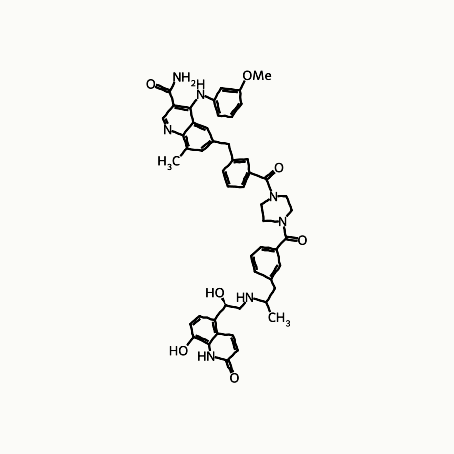 COc1cccc(Nc2c(C(N)=O)cnc3c(C)cc(Cc4cccc(C(=O)N5CCN(C(=O)c6cccc(CC(C)NC[C@H](O)c7ccc(O)c8[nH]c(=O)ccc78)c6)CC5)c4)cc23)c1